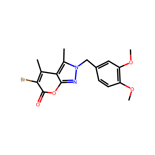 COc1ccc(Cn2nc3oc(=O)c(Br)c(C)c3c2C)cc1OC